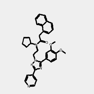 COc1ccc(-c2nc(-c3ccncc3)nn2CCN(C(=O)Cc2cccc3ccccc23)C2CCCC2)cc1OC